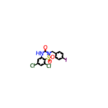 O=C1Nc2cc(Cl)cc(Cl)c2S(=O)(=O)N1Cc1ccc(I)cc1